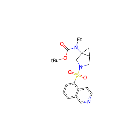 CCN(C(=O)OC(C)(C)C)C12CC1CN(S(=O)(=O)c1cccc3cnccc13)C2